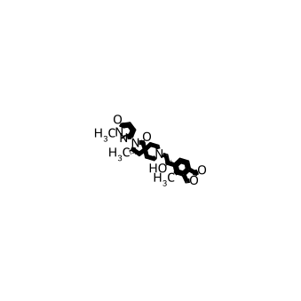 Cc1c([C@@H](O)CN2CCC3(CC2)C[C@H](C)N(c2ccc(=O)n(C)n2)C3=O)ccc2c1COC2=O